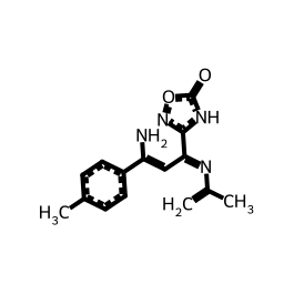 C=C(C)/N=C(\C=C(/N)c1ccc(C)cc1)c1noc(=O)[nH]1